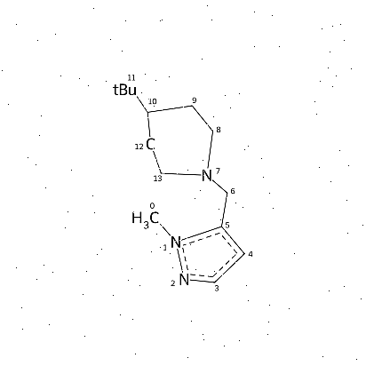 Cn1nccc1CN1CCC(C(C)(C)C)CC1